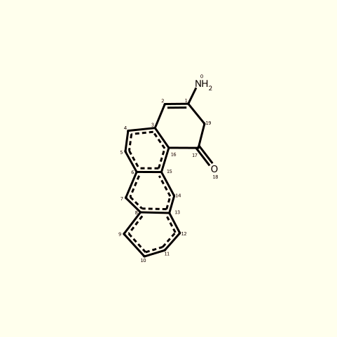 NC1=Cc2ccc3cc4ccccc4cc3c2C(=O)C1